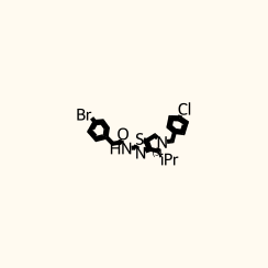 CC(C)[C@H]1c2nc(NC(=O)Cc3ccc(Br)cc3)sc2CN1Cc1ccc(Cl)cc1